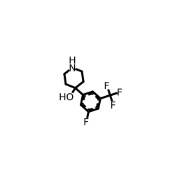 OC1(c2cc(F)cc(C(F)(F)F)c2)CCNCC1